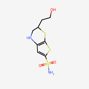 NS(=O)(=O)c1cc2c(s1)SC(CCO)CN2